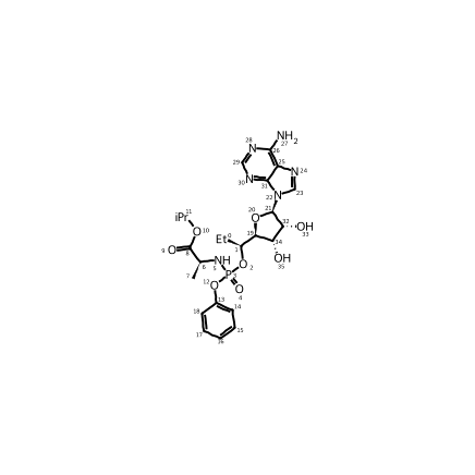 CC[C@H](OP(=O)(N[C@@H](C)C(=O)OC(C)C)Oc1ccccc1)[C@H]1O[C@@H](n2cnc3c(N)ncnc32)[C@H](O)[C@@H]1O